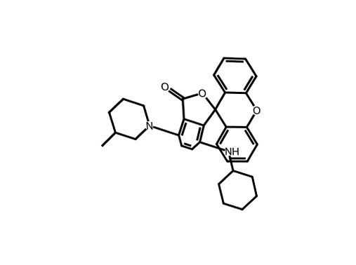 CC1CCCN(c2ccc(NC3CCCCC3)c3c2C(=O)OC32c3ccccc3Oc3ccccc32)C1